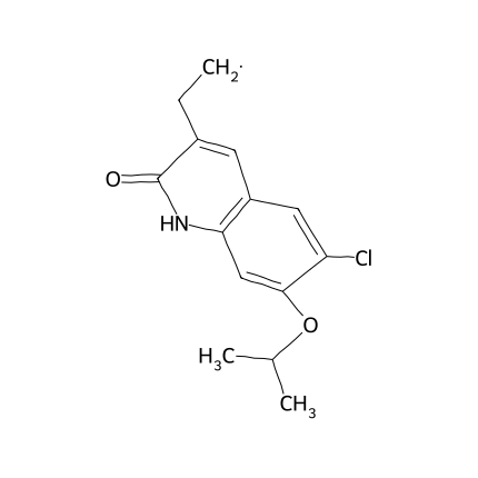 [CH2]Cc1cc2cc(Cl)c(OC(C)C)cc2[nH]c1=O